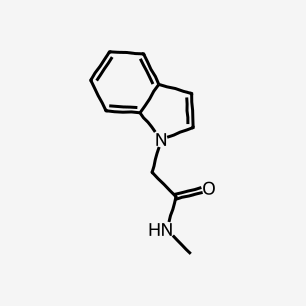 CNC(=O)Cn1ccc2ccccc21